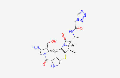 CC(NC(=O)Cn1cnnn1)[C@H]1C(=O)N2C(C(=O)O)=C(S[C@@H]3CN[C@H](C(=O)N4CC(N)C(CO)C4)C3)[C@H](C)[C@H]12